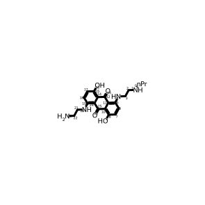 CCCNCCNc1ccc(O)c2c1C(=O)c1c(O)ccc(NCCN)c1C2=O